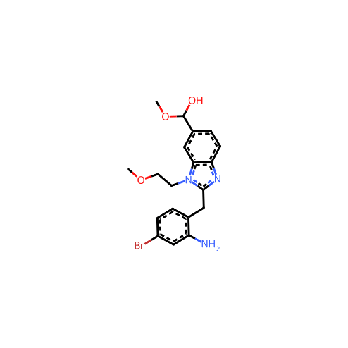 COCCn1c(Cc2ccc(Br)cc2N)nc2ccc(C(O)OC)cc21